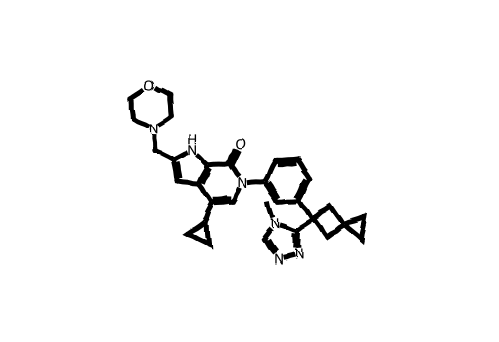 Cn1cnnc1C1(c2cccc(-n3cc(C4CC4)c4cc(CN5CCOCC5)[nH]c4c3=O)c2)CC2(CC2)C1